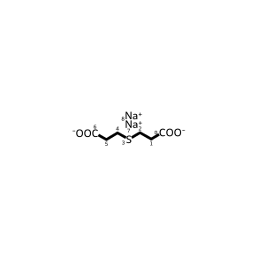 O=C([O-])CCSCCC(=O)[O-].[Na+].[Na+]